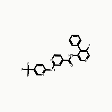 O=C(Nc1cncc(F)c1-c1ccccc1)c1ccnc(Nc2ccc(C(F)(F)F)cn2)c1